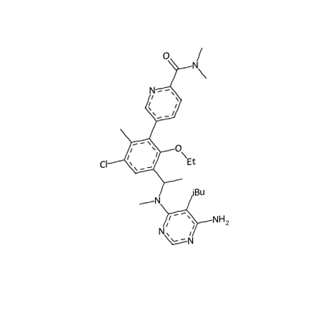 CCOc1c(C(C)N(C)c2ncnc(N)c2C(C)CC)cc(Cl)c(C)c1-c1ccc(C(=O)N(C)C)nc1